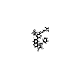 CC(C)NCCOc1ncc(-c2cc3c(cc2F)ncc2c3[C@]3(C[C@@H](c4ccccn4)C3)C(=O)N2C)cc1NS(C)(=O)=O